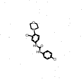 O=C(Nc1ccc(Cl)cc1)Nc1ccc(N2CCOCC2)c(Cl)c1